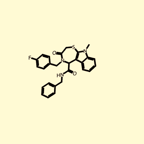 Cn1c2c(c3ccccc31)C(C(=O)NCc1ccccc1)N(Cc1ccc(F)cc1)C(=O)CS2